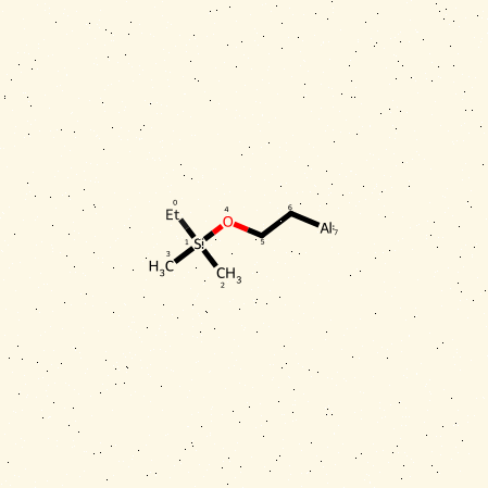 CC[Si](C)(C)OC[CH2][Al]